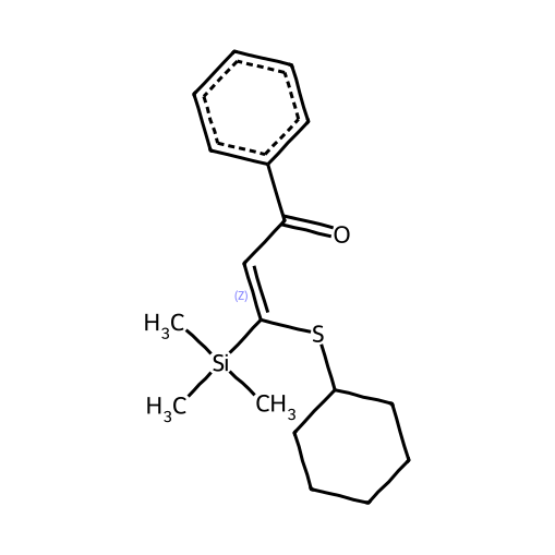 C[Si](C)(C)/C(=C/C(=O)c1ccccc1)SC1CCCCC1